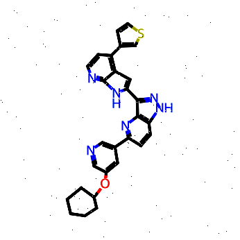 c1cc(-c2ccsc2)c2cc(-c3n[nH]c4ccc(-c5cncc(OC6CCCCC6)c5)nc34)[nH]c2n1